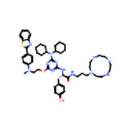 CN(CCOc1nc(N[C@@H](Cc2ccc(O)cc2)C(=O)NCCCN2CCNCCNCCNCC2)nc(N(C2CCCCC2)C2CCCCC2)n1)c1ccc(-c2nc3ccccc3s2)cc1